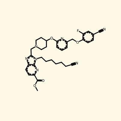 COC(=O)c1ccc2nc(CN3CCC(Oc4cccc(COc5ccc(C#N)cc5F)n4)CC3)n(CCCCCCC#N)c2n1